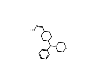 O/N=C\C1CCC(C(c2ccccc2)N2CCOCC2)CC1